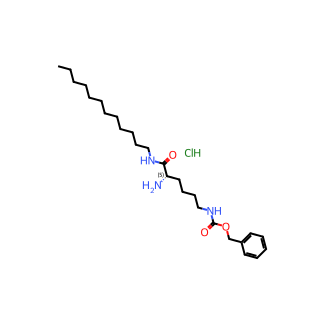 CCCCCCCCCCCCNC(=O)[C@@H](N)CCCCNC(=O)OCc1ccccc1.Cl